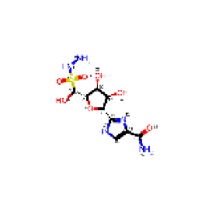 NNS(=O)(=O)C(O)[C@H]1O[C@@H](c2nc(C(N)=O)c[nH]2)[C@H](O)[C@@H]1O